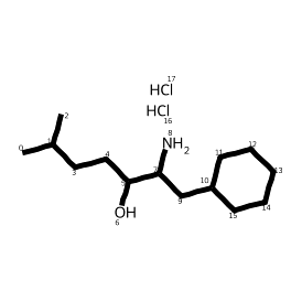 CC(C)CCC(O)C(N)CC1CCCCC1.Cl.Cl